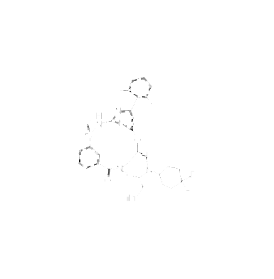 Cc1cccc(C)c1-c1cc2nc(n1)NS(=O)(=O)c1cccc(c1)C(=O)N1C[C@@H](CN(C3CCC(F)(F)CC3)[C@@H](CC(C)C)C1)O2